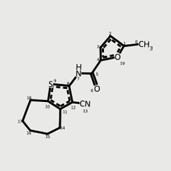 Cc1ccc(C(=O)Nc2sc3c(c2C#N)CCCCC3)o1